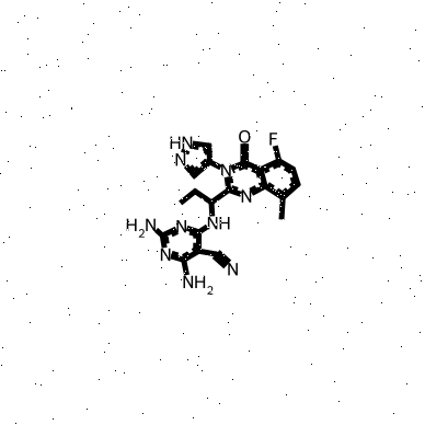 CCC(Nc1nc(N)nc(N)c1C#N)c1nc2c(C)ccc(F)c2c(=O)n1-c1cn[nH]c1